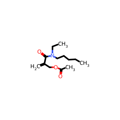 C=C(COC(C)=O)C(=O)N(CC)CCCCC